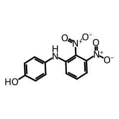 O=[N+]([O-])c1cccc(Nc2ccc(O)cc2)c1[N+](=O)[O-]